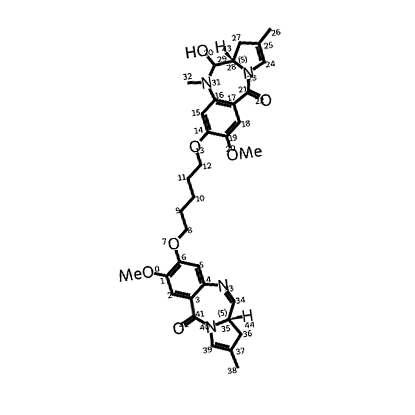 COc1cc2c(cc1OCCCCCOc1cc3c(cc1OC)C(=O)N1C=C(C)C[C@H]1C(O)N3C)N=C[C@@H]1CC(C)=CN1C2=O